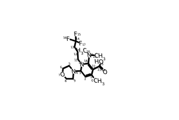 CC1=CC(N2CCOCC2)N(CCCC(F)(F)F)C(N(C)C)=C1C(=O)O